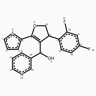 OC(C1=C(c2cccs2)OCC1c1ccc(F)cc1F)c1cccnc1